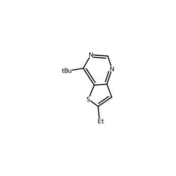 CCc1cc2ncnc(C(C)(C)C)c2s1